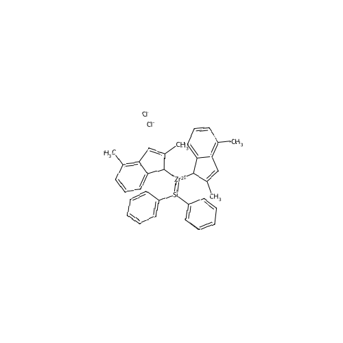 CC1=Cc2c(C)cccc2[CH]1[Zr+2]([CH]1C(C)=Cc2c(C)cccc21)=[Si](c1ccccc1)c1ccccc1.[Cl-].[Cl-]